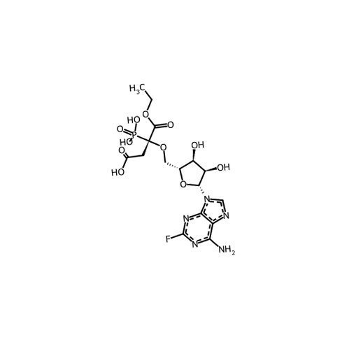 CCOC(=O)[C@](CC(=O)O)(OC[C@H]1O[C@@H](n2cnc3c(N)nc(F)nc32)[C@H](O)[C@@H]1O)P(=O)(O)O